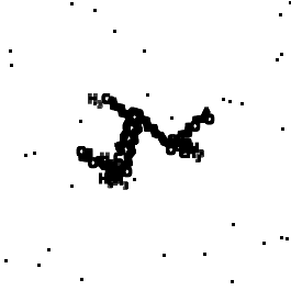 CCCCCCCC1C(CCCCC)CCC(CCCCCCC(=O)O[Si](CCCOCC2CO2)(OC)OC)C1CCCCCCCC(=O)O[Si](CCCOC1COC1)(OC)OC